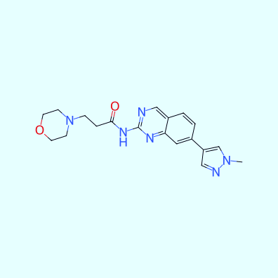 Cn1cc(-c2ccc3cnc(NC(=O)CCN4CCOCC4)nc3c2)cn1